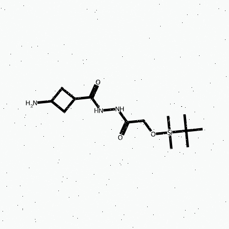 CC(C)(C)[Si](C)(C)OCC(=O)NNC(=O)C1CC(N)C1